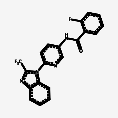 O=C(Nc1ccc(-n2c(C(F)(F)F)nc3ccccc32)nc1)c1ccccc1F